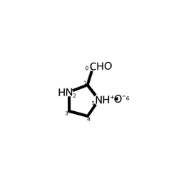 O=CC1NCC[NH+]1[O-]